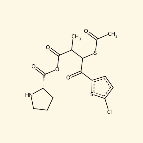 CC(=O)SC(C(=O)c1ccc(Cl)s1)C(C)C(=O)OC(=O)[C@@H]1CCCN1